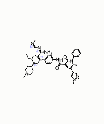 CCC(C)\C(=C/C(=C(C)/C(N)=N\C=N/C)c1ccc(NC(=O)c2cc(-c3cnn(C)c3)c(C)n(-c3ccccc3)c2=O)cc1)C1CCN(C)CC1